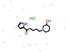 Cl.O=C(CCCCN1CCCC(O)C1)c1ccc[nH]1